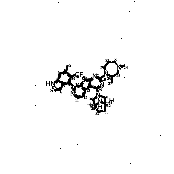 Cc1cc2[nH]ncc2c(-c2nccc3c2sc2nc(N4CCCN(C)CC4C)nc(N4C[C@H]5CC[C@@H](C4)N5)c23)c1C(F)(F)F